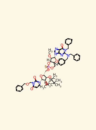 CO[C@@H]1[C@H](O[Si](C)(C)C(C)(C)C)[C@@H](CO[P@]2(=S)OC[C@H]3O[C@@H](n4cnc5c(=O)n(Cc6ccccc6)c(N(Cc6ccccc6)Cc6ccccc6)nc54)[C@H](OC)[C@@H]3O2)O[C@H]1n1ccc(=O)n(COCc2ccccc2)c1=O